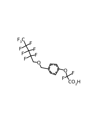 O=C(O)C(F)(F)Oc1ccc(COCC(F)(F)C(F)(F)C(F)(F)C(F)(F)F)cc1